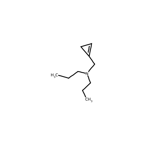 CCCN(CCC)CC1=CC1